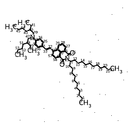 CCCCCCCCCCCC(CCCCCCCCCCC)N1C(=O)c2cccc3c(/C=C/c4ccc(N(CC(CC)CCCC)CC(CC)CCCC)cc4)ccc(c23)C1=O